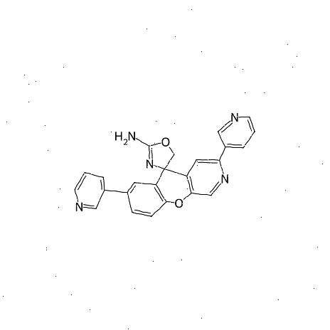 NC1=NC2(CO1)c1cc(-c3cccnc3)ccc1Oc1cnc(-c3cccnc3)cc12